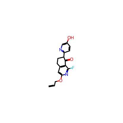 C=CCOc1cc2c(c(F)n1)C(=O)C(c1ccc(O)cn1)CC2